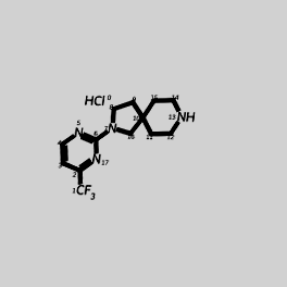 Cl.FC(F)(F)c1ccnc(N2CCC3(CCNCC3)C2)n1